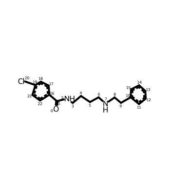 O=C(NCCCCNCCc1ccccc1)c1ccc(Cl)cc1